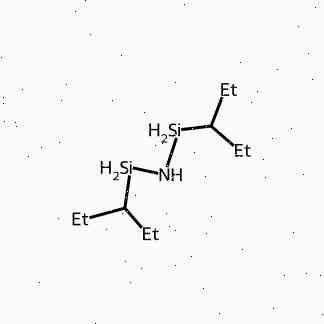 CCC(CC)[SiH2]N[SiH2]C(CC)CC